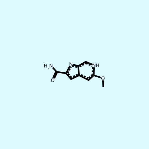 COc1cc2cc(C(N)=O)nc-2c[nH]1